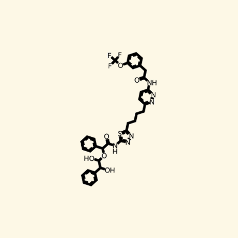 O=C(Cc1cccc(OC(F)(F)F)c1)Nc1ccc(CCCCc2nnc(NC(=O)C(OC(O)C(O)c3ccccc3)c3ccccc3)s2)nn1